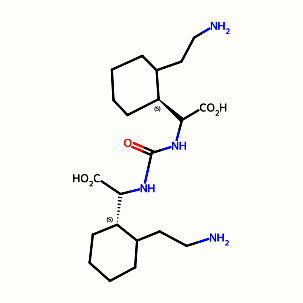 NCCC1CCCC[C@@H]1C(NC(=O)NC(C(=O)O)[C@H]1CCCCC1CCN)C(=O)O